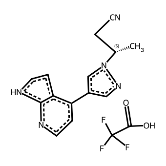 C[C@@H](CC#N)n1cc(-c2ccnc3[nH]ccc23)cn1.O=C(O)C(F)(F)F